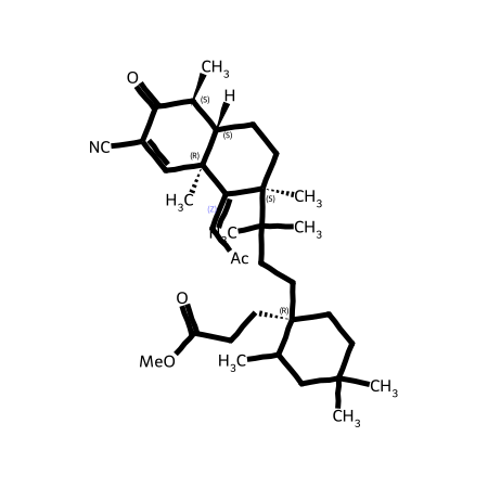 COC(=O)CC[C@]1(CCC(C)(C)[C@]2(C)CC[C@H]3[C@H](C)C(=O)C(C#N)=C[C@]3(C)/C2=C/C(C)=O)CCC(C)(C)CC1C